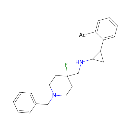 CC(=O)c1ccccc1C1CC1NCC1(F)CCN(Cc2ccccc2)CC1